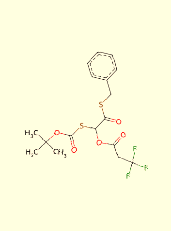 CC(C)(C)OC(=O)SC(OC(=O)CC(F)(F)F)C(=O)SCc1ccccc1